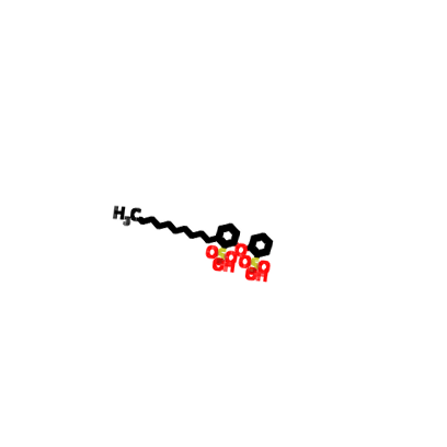 CCCCCCCCCCc1cccc(Oc2ccccc2S(=O)(=O)O)c1S(=O)(=O)O